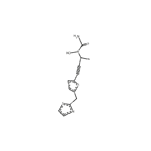 CC(C#Cc1ccc(Cc2nccs2)s1)N(O)C(N)=O